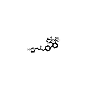 NS(=O)(=O)c1cccc(-c2ccc(CNCCN3C=CNC3)cc2)c1-c1nnn[nH]1